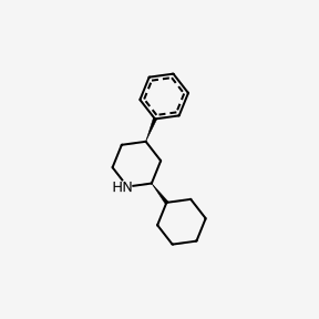 c1ccc([C@@H]2CCN[C@H](C3CCCCC3)C2)cc1